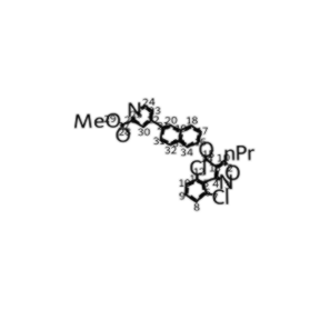 CCCc1onc(-c2c(Cl)cccc2Cl)c1COc1ccc2cc(-c3ccnc(C(=O)OC)c3)ccc2c1